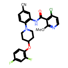 COc1nccc(Cl)c1C(=O)Nc1cc(C#N)ccc1N1CCC(Oc2ccc(F)cc2F)CC1